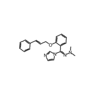 CN(C)/N=C(\c1ccccc1OC/C=C/c1ccccc1)n1ccnc1